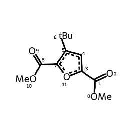 COC(=O)c1cc(C(C)(C)C)c(C(=O)OC)o1